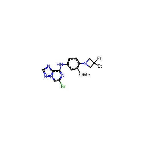 CCC1(CC)CN(c2ccc(Nc3nc(Br)cn4ncnc34)cc2OC)C1